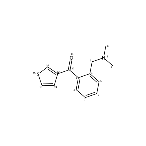 CN(C)Cc1ccccc1C(=O)c1ccsc1